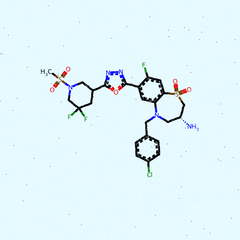 CS(=O)(=O)N1CC(c2nnc(-c3cc4c(cc3F)S(=O)(=O)C[C@H](N)CN4Cc3ccc(Cl)cc3)o2)CC(F)(F)C1